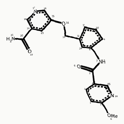 COc1ccc(C(=O)Nc2cccc(COc3cncc(C(N)=O)c3)c2)cn1